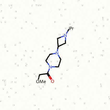 COCC(=O)N1CCN(C2CN(C(C)C)C2)CC1